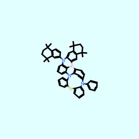 CC1(C)CCC(C)(C)c2cc(N3c4cc5c(cc4B4c6ccc7cc6N(c6ccccc6Sc6ccccc6N7c6ccccc6)c6cccc3c64)C(C)(C)CCC5(C)C)ccc21